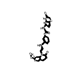 COc1cc2c(ccc(=O)n2CCNC2CCCC(OC(=O)Nc3ccc4c(n3)NC(=O)CO4)C2)cn1